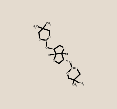 CC1(C)COP(O[C@H]2CO[C@H]3[C@@H]2OC[C@H]3OP2OCC(C)(C)CO2)OC1